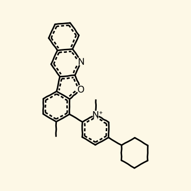 Cc1ccc2c(oc3nc4ccccc4cc32)c1-c1ccc(C2CCCCC2)c[n+]1C